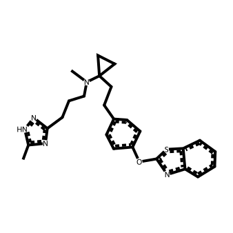 Cc1nc(CCCN(C)C2(CCc3ccc(Oc4nc5ccccc5s4)cc3)CC2)n[nH]1